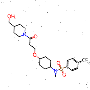 CN(C1CCC(OCCC(=O)N2CCC(CO)CC2)CC1)S(=O)(=O)c1ccc(C(F)(F)F)cc1